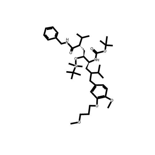 COCCCOc1cc(CC(C[C@H](NC(=O)OC(C)(C)C)[C@H](C[C@H](C(=O)NCc2ccccc2)C(C)C)O[Si](C)(C)C(C)(C)C)C(C)C)ccc1OC